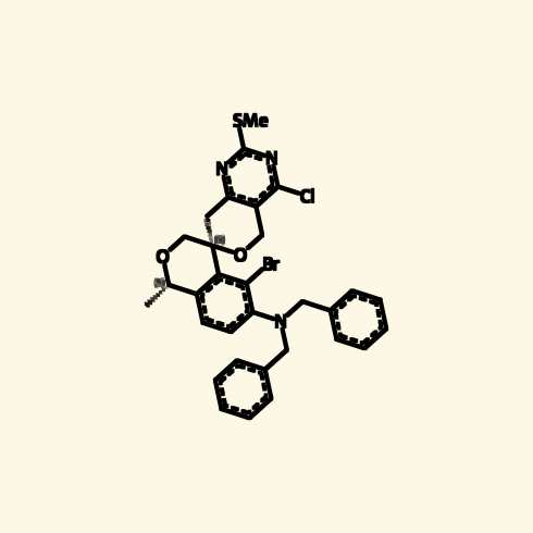 CSc1nc(Cl)c2c(n1)C[C@]1(CO[C@@H](C)c3ccc(N(Cc4ccccc4)Cc4ccccc4)c(Br)c31)OC2